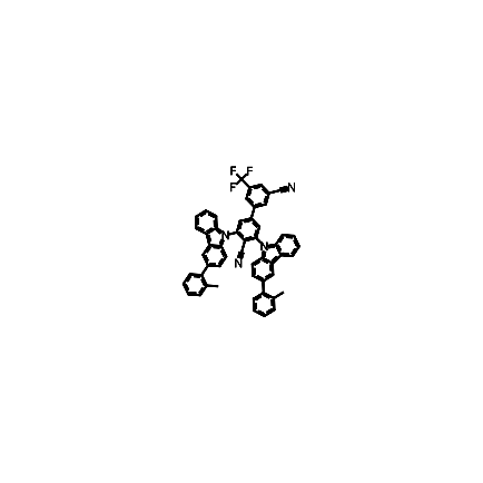 Cc1ccccc1-c1ccc2c(c1)c1ccccc1n2-c1cc(-c2cc(C#N)cc(C(F)(F)F)c2)cc(-n2c3ccccc3c3cc(-c4ccccc4C)ccc32)c1C#N